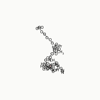 CC(C)[C@H](NC(=O)CCOCCOCCOCCOCCOCCN1C(=O)C=CC1=O)C(=O)N[C@@H](C)C(=O)Nc1ccc(COC(=O)N(C)Cc2ccccc2C(=O)Nc2nc3c(ncn3[C@@H]3O[C@H]4CO[P+](=O)O[C@H]5C[C@H](Oc6ccncn6)C[C@@H]5CO[PH](=O)O[C@@H]3C4O)c(=O)[nH]2)cc1